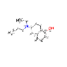 CCCN(CC)C1CCc2c(O)cccc2C1